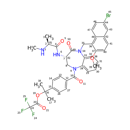 CN[C@@H](C)C(=O)N[C@H]1CN(C(=O)c2ccc(C(C)(C)OC(=O)C(F)(F)F)cc2)c2ccccc2N(Cc2c(OC)ccc3cc(Br)ccc23)C1=O